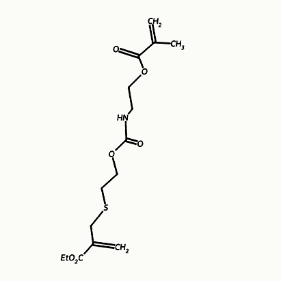 C=C(C)C(=O)OCCNC(=O)OCCSCC(=C)C(=O)OCC